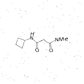 CNC(=O)CC(=O)NC1CCC1